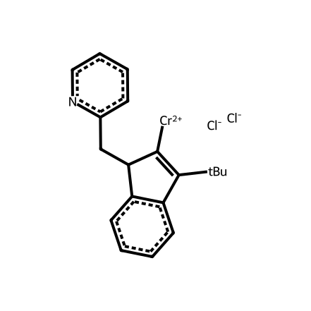 CC(C)(C)C1=[C]([Cr+2])C(Cc2ccccn2)c2ccccc21.[Cl-].[Cl-]